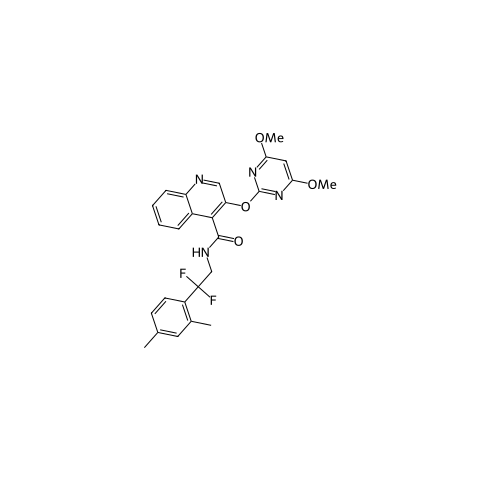 COc1cc(OC)nc(Oc2cnc3ccccc3c2C(=O)NCC(F)(F)c2ccc(C)cc2C)n1